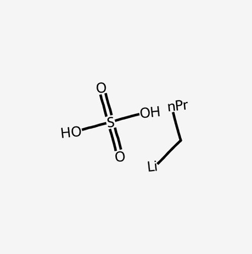 O=S(=O)(O)O.[Li][CH2]CCC